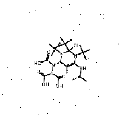 CC(C)NC1=C(F)C(N(C(=O)O)N(C(=O)O)C(=O)O)N(C(C)(C)C)C(Cl)(C(C)(C)C)N1C(C)(C)C